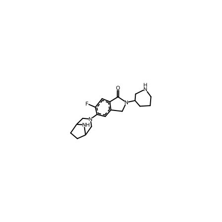 O=C1c2cc(F)c(N3CC4CCC(C3)N4)cc2CN1C1CCCNC1